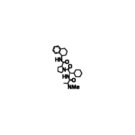 CN[C@@H](C)C(=O)N[C@H](C(=O)N1CCCC1C(=O)N[C@@H]1CCCc2ccccc21)C1CCCCC1